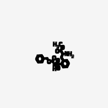 COC(=O)[C@@H](N)Cc1ccccc1S(=O)(=O)NC(=O)OCc1ccccc1